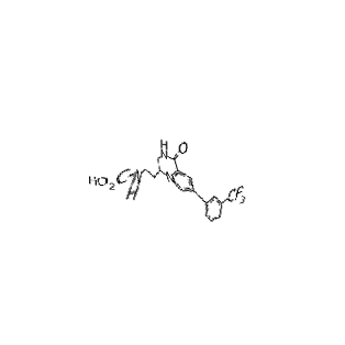 O=C(O)NCCC1CNC(=O)c2cc(-c3cccc(C(F)(F)F)c3)cn21